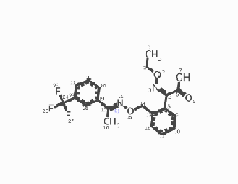 CCON=C(C(=O)O)c1ccccc1CO/N=C(\C)c1cccc(C(F)(F)F)c1